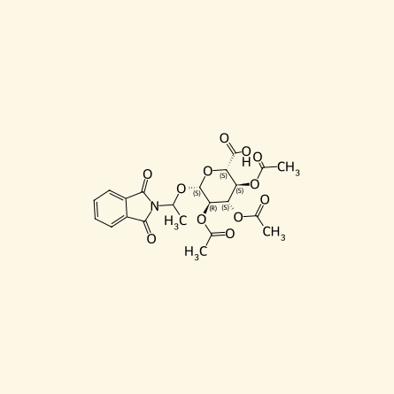 CC(=O)O[C@@H]1[C@@H](OC(C)=O)[C@H](OC(C)N2C(=O)c3ccccc3C2=O)O[C@H](C(=O)O)[C@H]1OC(C)=O